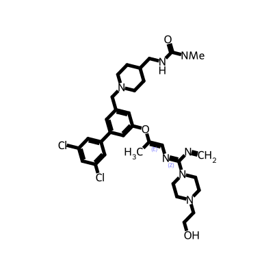 C=N/C(=N\C=C(/C)Oc1cc(CN2CCC(CNC(=O)NC)CC2)cc(-c2cc(Cl)cc(Cl)c2)c1)N1CCN(CCO)CC1